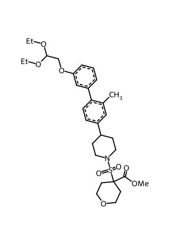 CCOC(COc1cccc(-c2ccc(C3CCN(S(=O)(=O)C4(C(=O)OC)CCOCC4)CC3)cc2C)c1)OCC